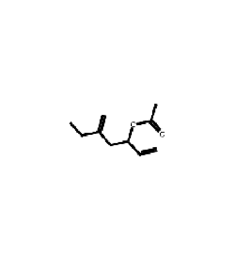 C=CC(CC(=C)CC)OC(C)=O